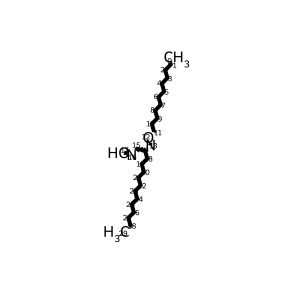 CCCCCCCCCCCCON=C(C=NO)CCCCCCCCCCCC